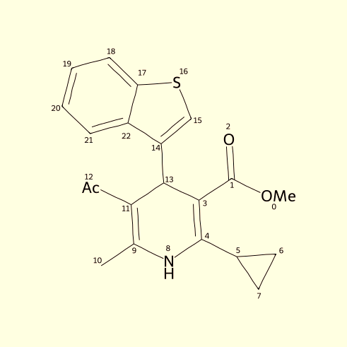 COC(=O)C1=C(C2CC2)NC(C)=C(C(C)=O)C1c1csc2ccccc12